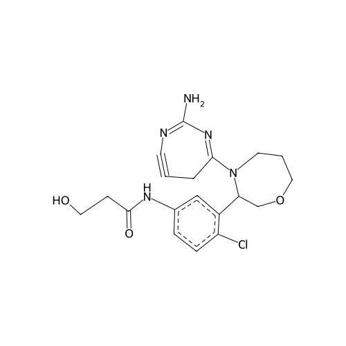 NC1=NC#CCC(N2CCCOCC2c2cc(NC(=O)CCO)ccc2Cl)=N1